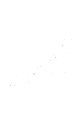 CCOc1cc2nn([C@H]3CC[C@H](O)CC3)cc2cc1NC(=O)c1cccc(C)[n+]1[O-]